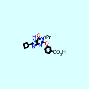 CCCn1c(Oc2cccc(C(=O)O)c2)nc2nc(C3CCCC3)[nH]c2c1=O